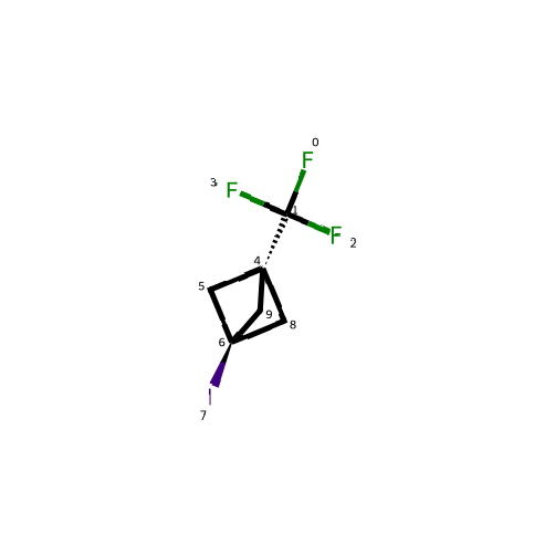 FC(F)(F)[C@]12C[C@@](I)(C1)C2